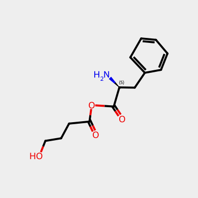 N[C@@H](Cc1ccccc1)C(=O)OC(=O)CCCO